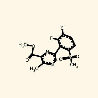 COC(=O)c1nc(-c2c(S(C)(=O)=O)ccc(Cl)c2F)cnc1C